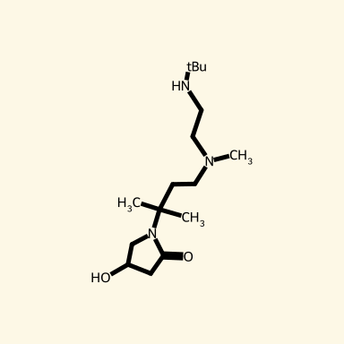 CN(CCNC(C)(C)C)CCC(C)(C)N1CC(O)CC1=O